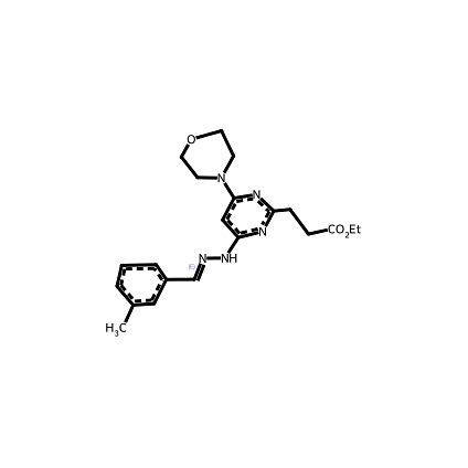 CCOC(=O)CCc1nc(N/N=C/c2cccc(C)c2)cc(N2CCOCC2)n1